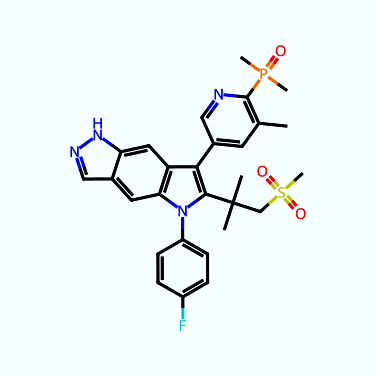 Cc1cc(-c2c(C(C)(C)CS(C)(=O)=O)n(-c3ccc(F)cc3)c3cc4cn[nH]c4cc23)cnc1P(C)(C)=O